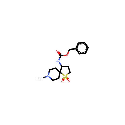 O=C(NC1CCS(=O)(=O)C12CCN(C(=O)O)CC2)OCc1ccccc1